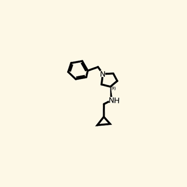 c1ccc(CN2CC[C@@H](NCC3CC3)C2)cc1